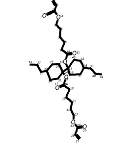 C=CC(=O)OCCCCCC(=O)OC1(C2(OC(=O)CCCCCOC(=O)C=C)CCC(CCC)CC2)CCC(CCC)CC1